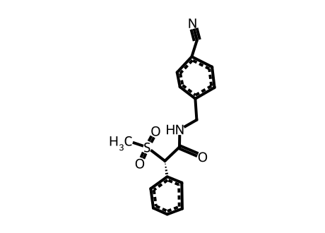 CS(=O)(=O)[C@H](C(=O)NCc1ccc(C#N)cc1)c1ccccc1